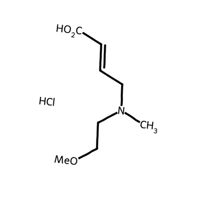 COCCN(C)C/C=C/C(=O)O.Cl